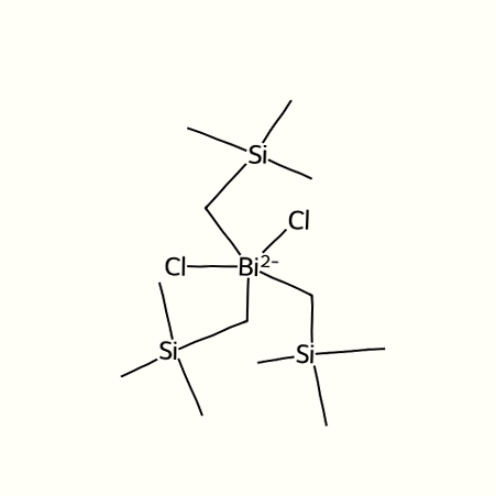 C[Si](C)(C)[CH2][Bi-2]([Cl])([Cl])([CH2][Si](C)(C)C)[CH2][Si](C)(C)C